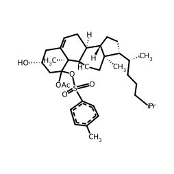 CC(=O)OC1(OS(=O)(=O)c2ccc(C)cc2)C[C@H](O)CC2=CC[C@H]3[C@@H]4CC[C@H]([C@H](C)CCCC(C)C)[C@@]4(C)CC[C@@H]3[C@]21C